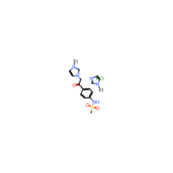 CCN1C=CN(CC(=O)c2ccc(NS(C)(=O)=O)cc2)C1.CCn1ccnc1.Cl